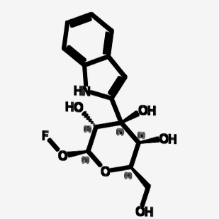 OC[C@H]1O[C@@H](OF)[C@H](O)[C@](O)(c2cc3ccccc3[nH]2)[C@H]1O